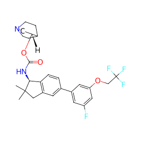 CC1(C)Cc2cc(-c3cc(F)cc(OCC(F)(F)F)c3)ccc2[C@@H]1NC(=O)O[C@@H]1CN2CCC1CC2